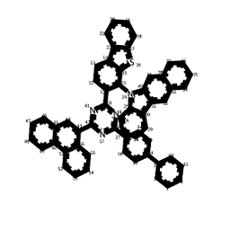 c1ccc(-c2ccc(-c3nc(-c4ccc5c(sc6ccccc65)c4-n4c5ccccc5c5cc6ccccc6cc54)nc(-c4cc5ccccc5c5ccccc45)n3)cc2)cc1